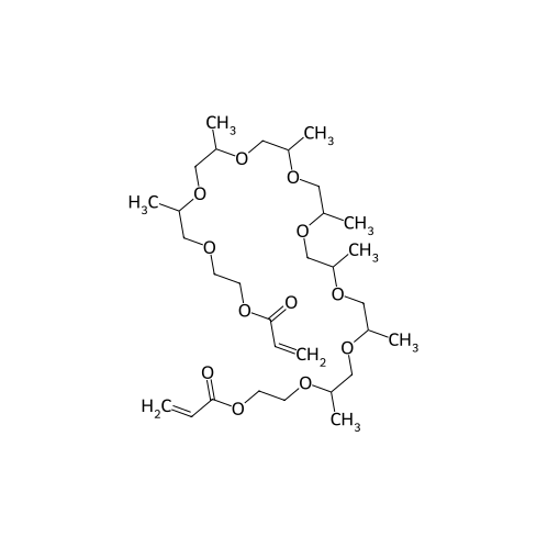 C=CC(=O)OCCOCC(C)OCC(C)OCC(C)OCC(C)OCC(C)OCC(C)OCC(C)OCCOC(=O)C=C